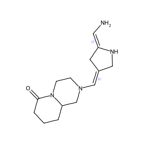 N/C=C1/C/C(=C\N2CCN3C(=O)CCCC3C2)CN1